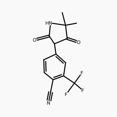 CC1(C)NC(=O)C(c2ccc(C#N)c(C(F)(F)F)c2)C1=O